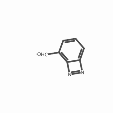 O=[C]c1cccc2c1N=N2